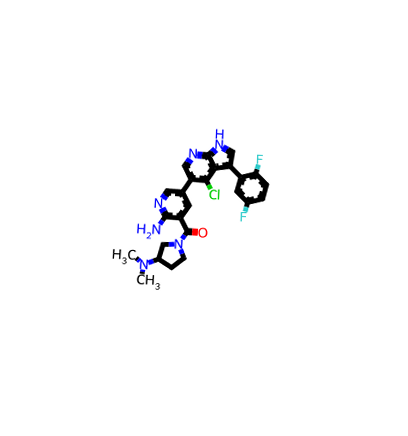 CN(C)C1CCN(C(=O)c2cc(-c3cnc4[nH]cc(-c5cc(F)ccc5F)c4c3Cl)cnc2N)C1